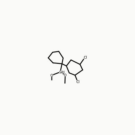 CO[SiH](OC)C1(C2CC(Cl)CC(Cl)C2)CCCCC1